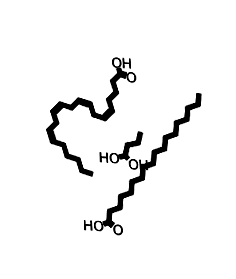 CCCC(O)O.CCCCC/C=C\C/C=C\C/C=C\C/C=C\CCCC(=O)O.CCCCCCCCCCCCCCCCCC(=O)O